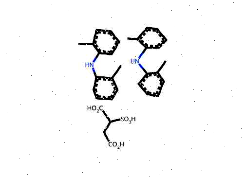 Cc1ccccc1Nc1ccccc1C.Cc1ccccc1Nc1ccccc1C.O=C(O)CC(C(=O)O)S(=O)(=O)O